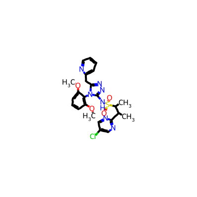 COc1cccc(OC)c1-n1c(Cc2ccccn2)nnc1NS(=O)(=O)C(C)C(C)c1ncc(Cl)cn1